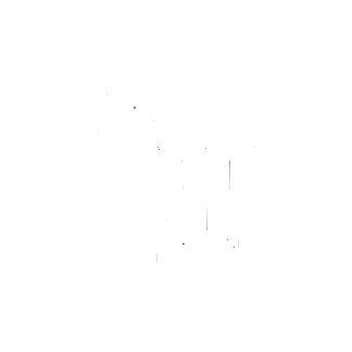 CC(C)(C)OC(=O)c1cc(Br)cc(C(N)C(F)(F)F)c1